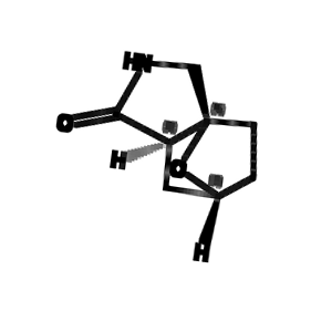 O=C1NC[C@]23CC[C@H](C[C@@H]12)O3